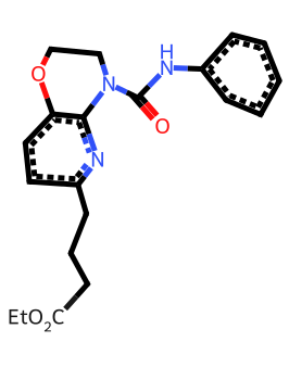 CCOC(=O)CCCc1ccc2c(n1)N(C(=O)Nc1ccccc1)CCO2